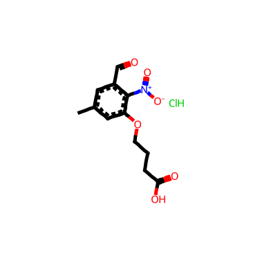 Cc1cc(C=O)c([N+](=O)[O-])c(OCCCC(=O)O)c1.Cl